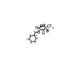 O=S(=O)(NS(=O)(=O)C(F)(F)F)OCC1CCCCC1